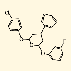 Fc1cccc(OC2CC(c3ccccc3)CC(Oc3ccc(Cl)cc3)O2)c1